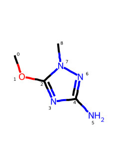 COc1nc(N)nn1C